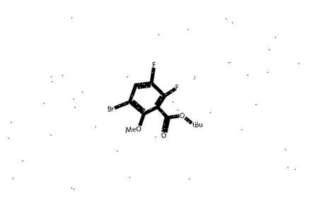 COc1c(Br)cc(F)c(F)c1C(=O)OC(C)(C)C